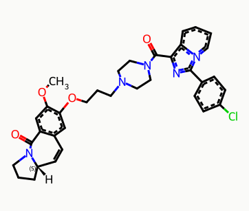 COc1cc2c(cc1OCCCN1CCN(C(=O)c3nc(-c4ccc(Cl)cc4)n4ccccc34)CC1)C=C[C@@H]1CCCN1C2=O